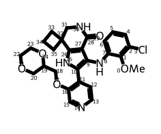 COc1c(Cl)cccc1Nc1c(-c2ccncc2OCC2COCCO2)[nH]c2c1C(=O)NCC21CCC1